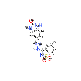 Cc1ccc2c(c1)C(N(C)/N=C/c1ccc3[nH]c(=O)n(C)c3c1)=NS2(=O)=O